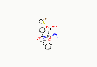 CC(C)(Cc1ccccc1)N(C(=O)c1ccc(-c2ccc(Br)s2)cc1)[C@@H](CCC(=O)O)C(N)=O